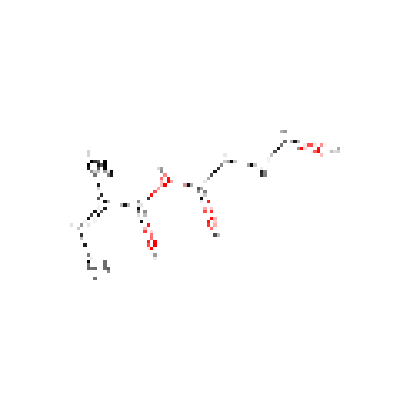 CC=C(C)C(=O)OC(=O)CCC=O